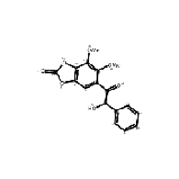 COc1c(C(=O)C(O)c2ccccc2)cc2oc(=O)oc2c1OC